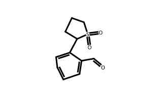 O=Cc1ccccc1C1CCCS1(=O)=O